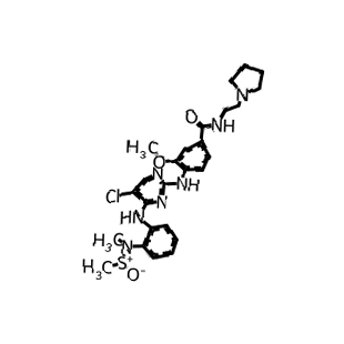 COc1cc(C(=O)NCCN2CCCC2)ccc1Nc1ncc(Cl)c(Nc2ccccc2N(C)[S+](C)[O-])n1